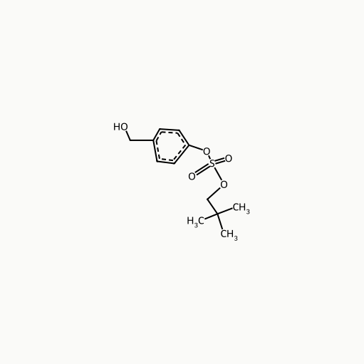 CC(C)(C)COS(=O)(=O)Oc1ccc(CO)cc1